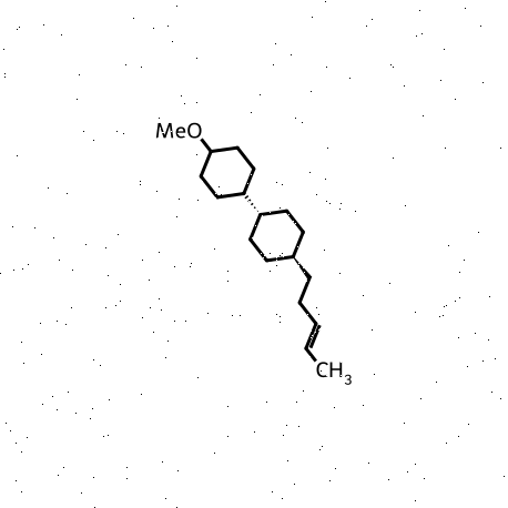 C/C=C/CC[C@H]1CC[C@H](C2CCC(OC)CC2)CC1